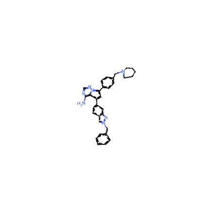 Nc1ncnn2c(-c3ccc(CN4CCCCC4)cc3)cc(-c3ccc4cn(Cc5ccccc5)nc4c3)c12